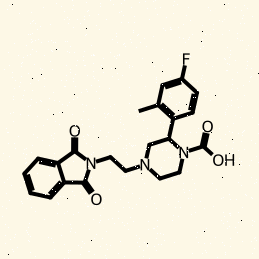 Cc1cc(F)ccc1C1CN(CCN2C(=O)c3ccccc3C2=O)CCN1C(=O)O